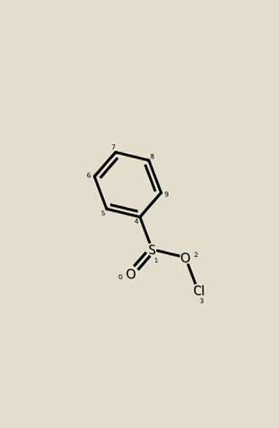 O=S(OCl)c1ccccc1